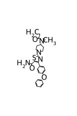 C=CC(=O)N(C)C1CCN(c2nc(-c3ccc(Oc4ccccc4)cc3)c(C(N)=O)s2)CC1